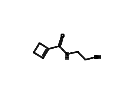 O=C(NCCO)C1=CCC1